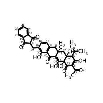 CC(=O)C1=C(O)C(C(C)C)[C@@]2(C)C[C@@]3(C)Cc4ccc(CC5C(=O)c6ccccc6C5=O)c(O)c4C(=O)C3=C(O)[C@@]2(O)C1=O